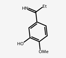 CCC(=N)c1ccc(OC)c(O)c1